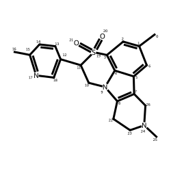 Cc1cc2c3c(c1)c1c(n3CC(c3ccc(C)nc3)S2(=O)=O)CCN(C)C1